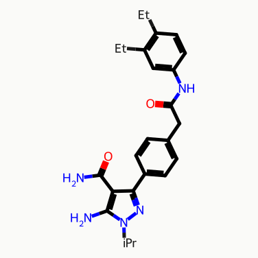 CCc1ccc(NC(=O)Cc2ccc(-c3nn(C(C)C)c(N)c3C(N)=O)cc2)cc1CC